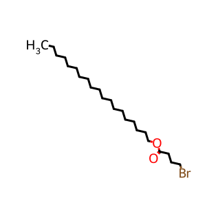 CCCCCCCCCCCCCCCCCCCOC(=O)CCCBr